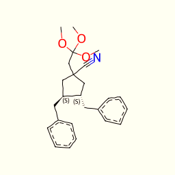 COC(CC1(C#N)C[C@H](Cc2ccccc2)[C@@H](Cc2ccccc2)C1)(OC)OC